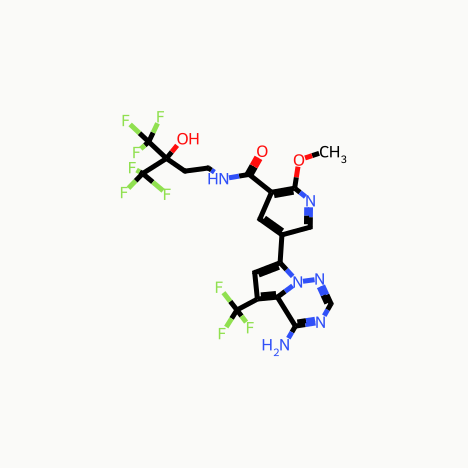 COc1ncc(-c2cc(C(F)(F)F)c3c(N)ncnn23)cc1C(=O)NCCC(O)(C(F)(F)F)C(F)(F)F